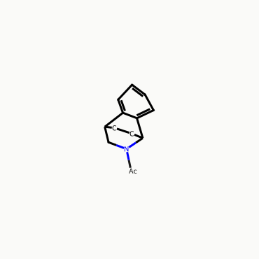 CC(=O)N1CC2CCC1c1ccccc12